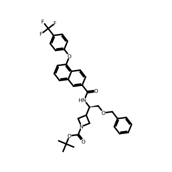 CC(C)(C)OC(=O)N1CC([C@H](COCc2ccccc2)NC(=O)c2ccc3c(Oc4ccc(C(F)(F)F)cc4)cccc3c2)C1